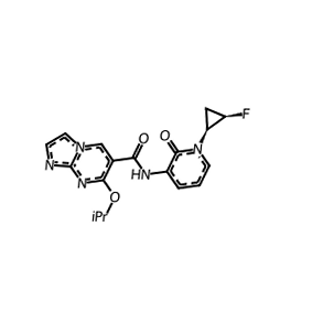 CC(C)Oc1nc2nccn2cc1C(=O)Nc1cccn([C@H]2C[C@H]2F)c1=O